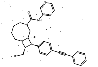 O=C(Nc1cccnc1)N1CCCCN2[C@H](CO)[C@H](c3ccc(C#Cc4ccccc4)cc3)[C@@H]2C1